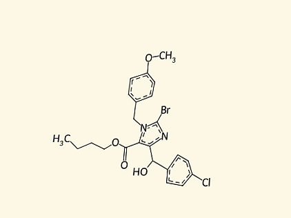 CCCCOC(=O)c1c(C(O)c2ccc(Cl)cc2)nc(Br)n1Cc1ccc(OC)cc1